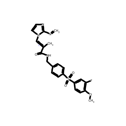 C=Nc1nccn1/C=C(\C)C(=O)NCc1ccc(S(=O)(=O)c2ccc(OC)c(F)c2)cc1